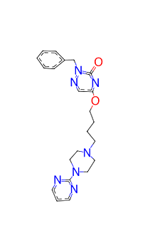 O=c1nc(OCCCCN2CCN(c3ncccn3)CC2)cnn1Cc1ccccc1